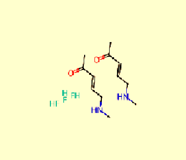 CNCC=CC(C)=O.CNCC=CC(C)=O.F.F.F